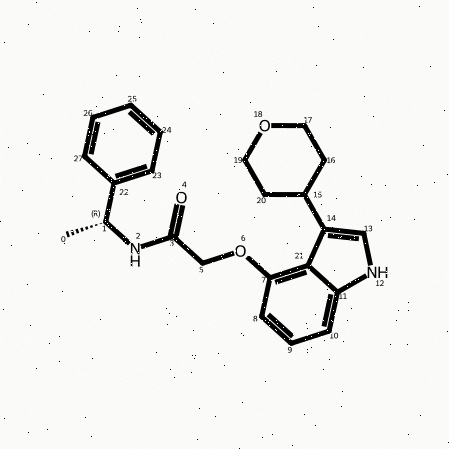 C[C@@H](NC(=O)COc1cccc2[nH]cc(C3CCOCC3)c12)c1ccccc1